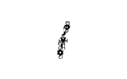 O=C(COc1ccc(Cl)cc1)N[C@@H]1[C@@H]2CN(CCCOc3ccc(Cl)cn3)C[C@@H]21